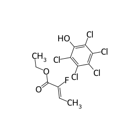 C/C=C(\F)C(=O)OCC.Oc1c(Cl)c(Cl)c(Cl)c(Cl)c1Cl